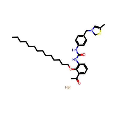 Br.CCCCCCCCCCCCCCOc1c(NC(=O)Nc2ccc(CN3C=C(C)SC3)cc2)cccc1C(C)=O